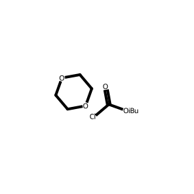 C1COCCO1.CC(C)COC(=O)Cl